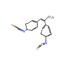 O=S(=O)(O)C(=CC1=CCC(N=C=S)C=C1)C1=CCC(N=C=S)C=C1